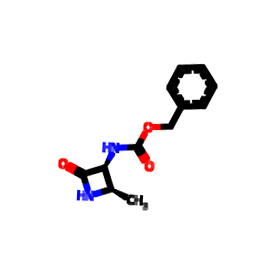 C[C@H]1NC(=O)[C@H]1NC(=O)OCc1ccccc1